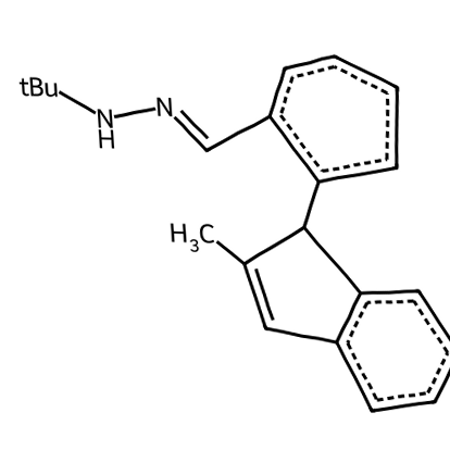 CC1=Cc2ccccc2C1c1ccccc1C=NNC(C)(C)C